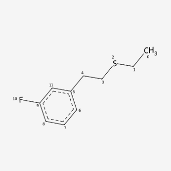 CCSCCc1cccc(F)c1